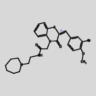 COc1ccc(/C=C2/Sc3ccccc3N(CC(=O)NCCN3CCCCCC3)C2=O)cc1Br